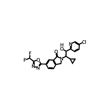 O=C1c2cc(-c3nnc(C(F)F)o3)ccc2CN1C(C1CC1)C(O)c1ccc(Cl)cn1